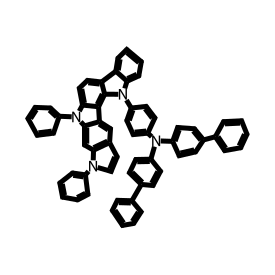 c1ccc(-c2ccc(N(c3ccc(-c4ccccc4)cc3)c3ccc(-n4c5ccccc5c5ccc6c(c7cc8ccn(-c9ccccc9)c8cc7n6-c6ccccc6)c54)cc3)cc2)cc1